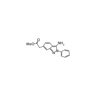 COC(=O)Cc1ccc2c(N)n(-c3ccccc3)nc2c1